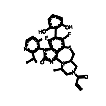 C=CC(=O)N1CC(C)N2c3nc(=O)n(-c4c(C)ccnc4C(C)C)c4c(F)c(-c5c(O)cccc5O)c(F)c(c34)SCC2C1